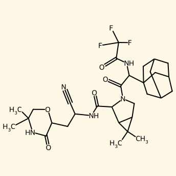 CC1(C)COC(CC(C#N)NC(=O)C2C3C(CN2C(=O)C(NC(=O)C(F)(F)F)C24CC5CC(CC(C5)C2)C4)C3(C)C)C(=O)N1